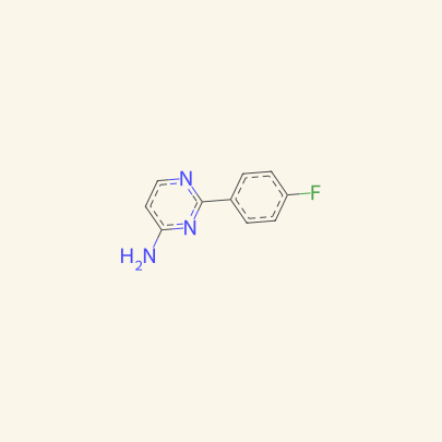 Nc1ccnc(-c2ccc(F)cc2)n1